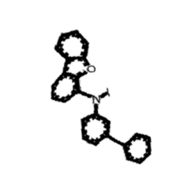 IN(c1cccc(-c2ccccc2)c1)c1cccc2c1oc1ccccc12